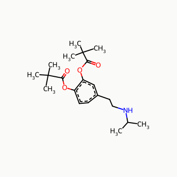 CC(C)NCCc1ccc(OC(=O)C(C)(C)C)c(OC(=O)C(C)(C)C)c1